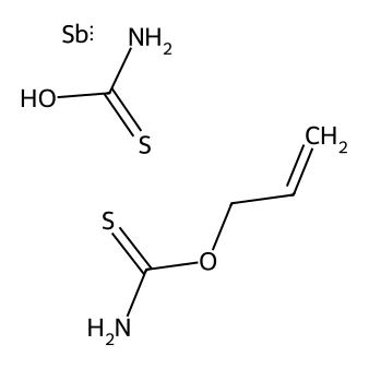 C=CCOC(N)=S.NC(O)=S.[Sb]